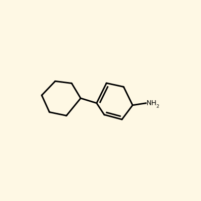 NC1C=CC(C2CCCCC2)=CC1